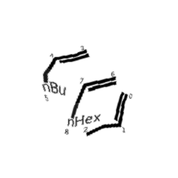 C=CC.C=CCCCC.C=CCCCCCC